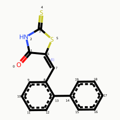 O=C1NC(=S)S/C1=C/c1ccccc1-c1ccccc1